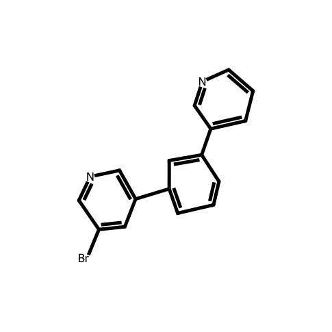 Brc1cncc(-c2cccc(-c3cccnc3)c2)c1